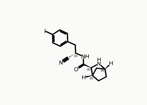 N#C[C@H](Cc1ccc(I)cc1)NC(=O)[C@H]1N[C@@H]2CC[C@H]1C2